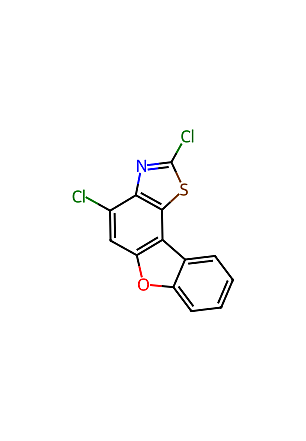 Clc1nc2c(Cl)cc3oc4ccccc4c3c2s1